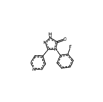 O=c1[nH]nc(-c2ccncc2)n1-c1ccccc1F